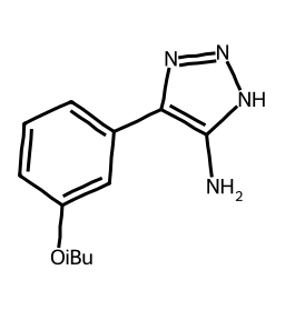 CC(C)COc1cccc(-c2nn[nH]c2N)c1